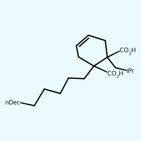 CCCCCCCCCCCCCCCC1(C(=O)O)CC=CCC1(CC(C)C)C(=O)O